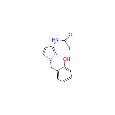 O=C(I)Nc1ccn(Cc2ccccc2O)n1